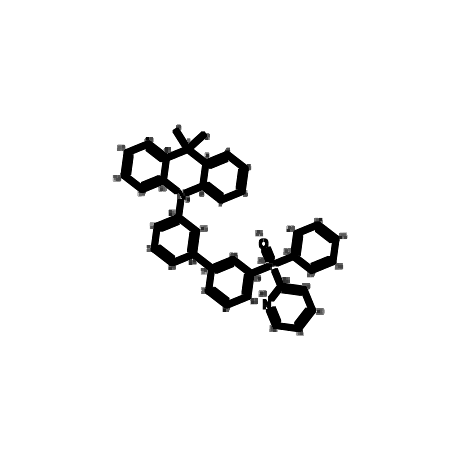 CC1(C)c2ccccc2N(c2cccc(-c3cccc(P(=O)(c4ccccc4)c4ccccn4)c3)c2)c2ccccc21